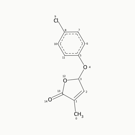 CC1=CC(Oc2ccc(Cl)cc2)OC1=O